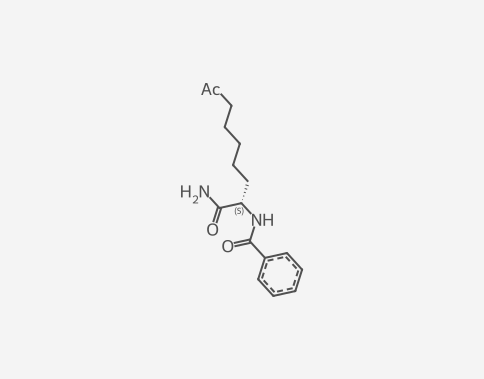 CC(=O)CCCCC[C@H](NC(=O)c1ccccc1)C(N)=O